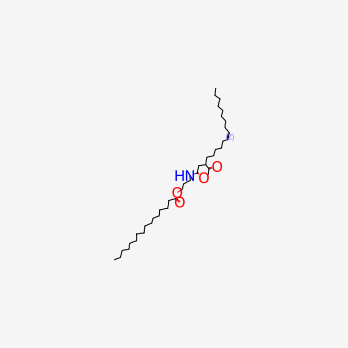 CCCCCCCC/C=C\CCCCCC(CC(=O)NCCCOC(=O)CCCCCCCCCCCCCCC)C(C)=O